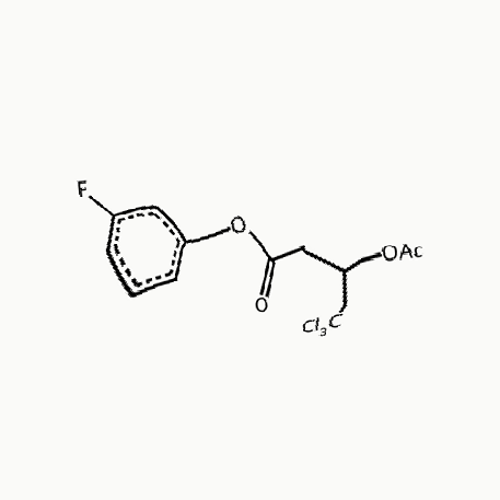 CC(=O)OC(CC(=O)Oc1cccc(F)c1)C(Cl)(Cl)Cl